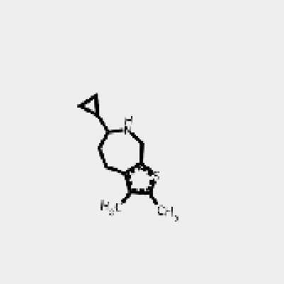 Cc1sc2c(c1C)CCC(C1CC1)NC2